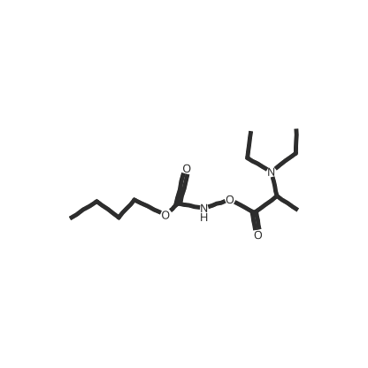 CCCCOC(=O)NOC(=O)C(C)N(CC)CC